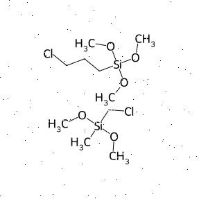 CO[Si](C)(CCl)OC.CO[Si](CCCCl)(OC)OC